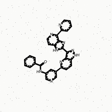 O=C(Nc1cncc(-c2ccc3[nH]nc(-c4nc5c(-c6ccccn6)nccc5[nH]4)c3n2)c1)c1ccccc1